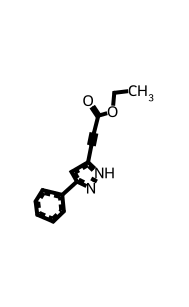 CCOC(=O)C#Cc1cc(-c2ccccc2)n[nH]1